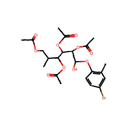 CC(=O)OCC(C)C(OC(C)=O)C(OC(C)=O)C(OC(C)=O)C(O)Oc1ccc(Br)cc1C